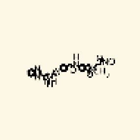 CC(CCC(=O)N=O)N1Cc2cc(NC(=O)Cc3ccc(N4CC(N/C=C(\C=N)c5cnc6ccccc6n5)C4)cc3)ccc2C1=O